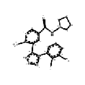 Nc1ncc(C(=O)NN2CCCC2)cc1-c1nnnn1-c1cccc(F)c1F